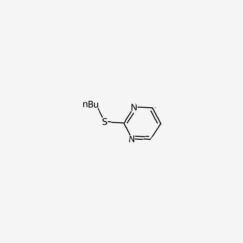 CCCCSc1n[c]ccn1